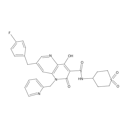 O=C(NC1CCS(=O)(=O)CC1)c1c(O)c2ncc(Cc3ccc(F)cc3)cc2n(Cc2ccccn2)c1=O